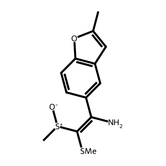 CSC(=C(N)c1ccc2oc(C)cc2c1)[S+](C)[O-]